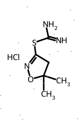 CC1(C)CC(SC(=N)N)=NO1.Cl